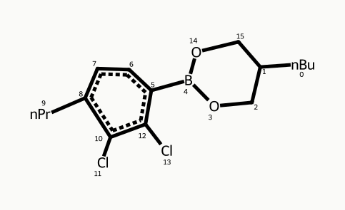 CCCCC1COB(c2ccc(CCC)c(Cl)c2Cl)OC1